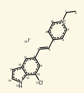 CC[n+]1ccc(C=Cc2cc(Cl)c3[nH]ccc3c2)cc1.[I-]